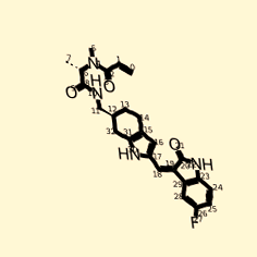 C=CC(=O)N(C)[C@@H](C)C(=O)NC[C@H]1CCc2cc(/C=C3\C(=O)Nc4ccc(F)cc43)[nH]c2C1